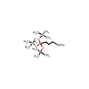 CC(=O)NCCC[Si](O[Si](C)(C)C)(O[Si](C)(C)C)O[Si](C)(C)C